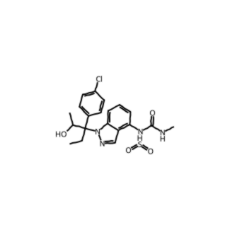 CCC(c1ccc(Cl)cc1)(C(C)O)n1ncc2c(N(C(=O)NC)[SH](=O)=O)cccc21